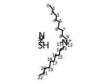 CCCCCCCCCC[N+](C)(C)CCCCCCCCCC.N#CS